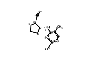 Cc1cnc(Cl)nc1N[C@@H]1CCC[C@H]1C#N